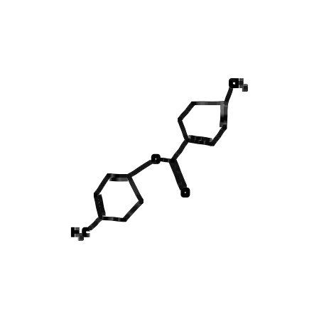 CC1=CC=C(OC(=O)C2=CC=C(C)CC2)CC1